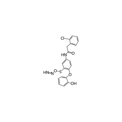 N=NOSc1cc(NC(=O)Cc2ccccc2Cl)ccc1Oc1ccccc1O